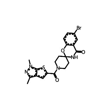 Cc1nn(C)c2sc(C(=O)N3CCC4(CC3)NC(=O)c3cc(Br)ccc3O4)cc12